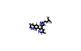 Cc1cnc(-c2ccc3cccnc3c2)c(-c2cnn(CCC(C)C)c2)c1